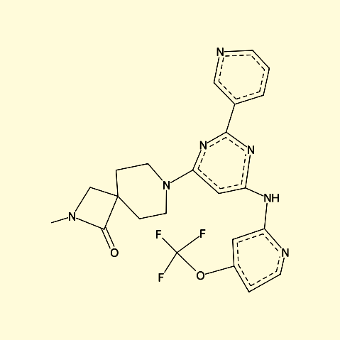 CN1CC2(CCN(c3cc(Nc4cc(OC(F)(F)F)ccn4)nc(-c4cccnc4)n3)CC2)C1=O